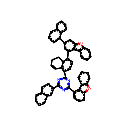 C1=Cc2c(-c3nc(-c4ccc5ccccc5c4)nc(-c4cccc5oc6ccccc6c45)n3)ccc(-c3cc(-c4cccc5ccccc45)cc4oc5ccccc5c34)c2CC1